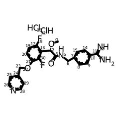 CO[C@H](C(=O)NCc1ccc(C(=N)N)cc1)c1c(F)ccc(OCc2ccncc2)c1F.Cl.Cl